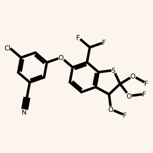 N#Cc1cc(Cl)cc(Oc2ccc3c(c2C(F)F)SC(OF)(OF)C3OF)c1